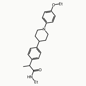 CCNC(=O)C(C)c1ccc(C2CCN(c3ccc(OCC)cc3)CC2)cc1